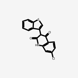 O=C1Nc2cc(Cl)ccc2C(=O)C1c1csc2ccccc12